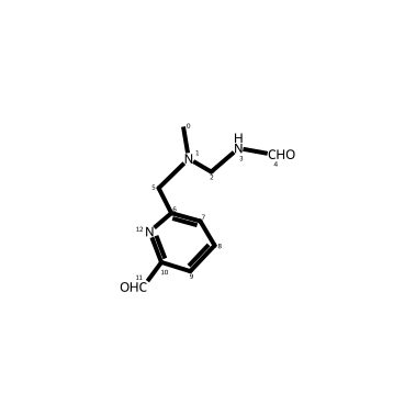 CN(CNC=O)Cc1cccc(C=O)n1